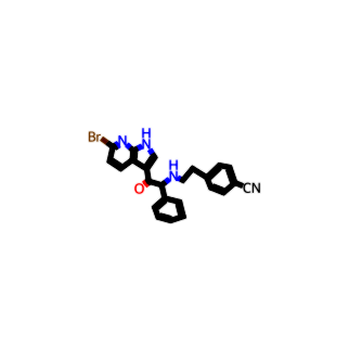 N#Cc1ccc(CCNC(C(=O)c2c[nH]c3nc(Br)ccc23)c2ccccc2)cc1